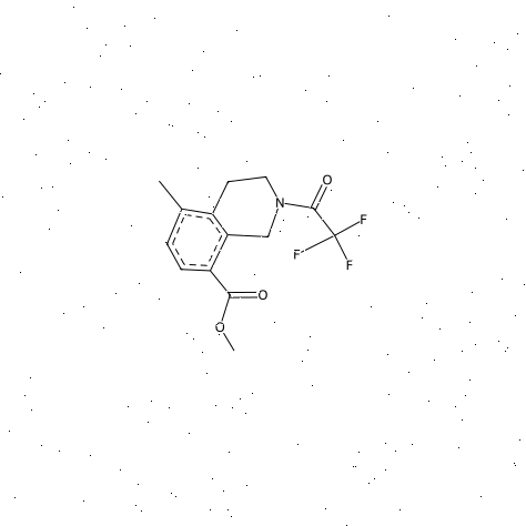 COC(=O)c1ccc(C)c2c1CN(C(=O)C(F)(F)F)CC2